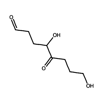 O=CCCC(O)C(=O)CCCO